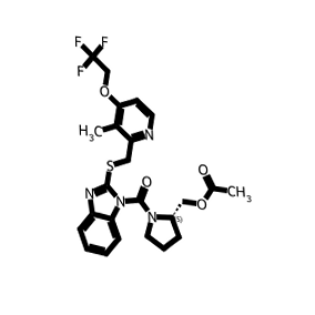 CC(=O)OC[C@@H]1CCCN1C(=O)n1c(SCc2nccc(OCC(F)(F)F)c2C)nc2ccccc21